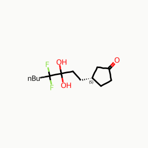 CCCCC(F)(F)C(O)(O)CC[C@H]1CCC(=O)C1